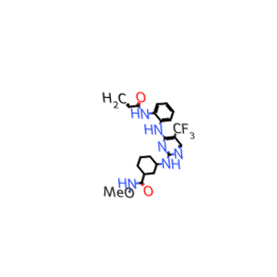 C=CC(=O)Nc1ccccc1Nc1nc(NC2CCCC(C(=O)NOC)C2)ncc1C(F)(F)F